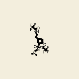 CN(C)/C=N/S(=O)(=O)c1cc(CCNC(=O)C(F)(F)F)ccc1OCC(F)(F)F